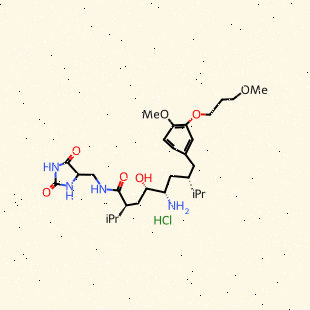 COCCCOc1cc(C[C@@H](C[C@H](N)[C@@H](O)C[C@H](C(=O)NCC2NC(=O)NC2=O)C(C)C)C(C)C)ccc1OC.Cl